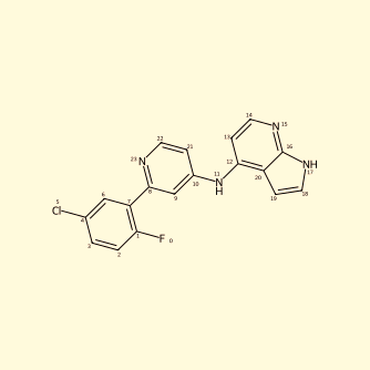 Fc1ccc(Cl)cc1-c1cc(Nc2ccnc3[nH]ccc23)ccn1